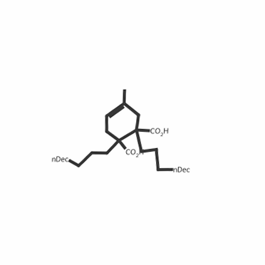 CCCCCCCCCCCCCC1(C(=O)O)CC=C(C)CC1(CCCCCCCCCCCCC)C(=O)O